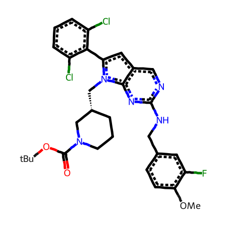 COc1ccc(CNc2ncc3cc(-c4c(Cl)cccc4Cl)n(C[C@@H]4CCCN(C(=O)OC(C)(C)C)C4)c3n2)cc1F